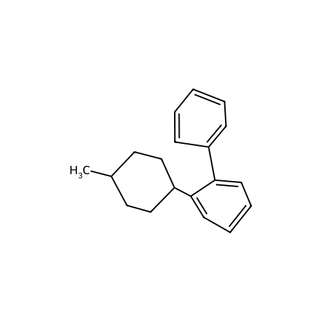 CC1CCC(c2ccccc2-c2ccccc2)CC1